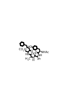 CC(=O)N[C@@H](Cc1ccc(O)cc1)C(=O)N[C@H](C(=O)N[C@@H](C)C(=O)NC(CC(=O)O)C(=O)CCCc1ccccc1)C(C)C